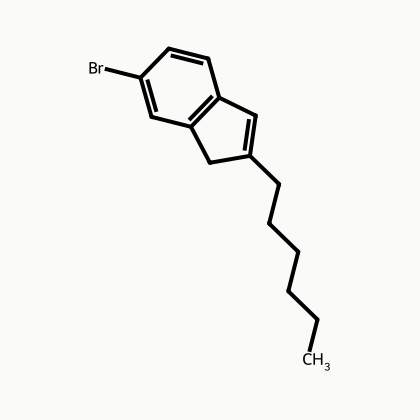 CCCCCCC1=Cc2ccc(Br)cc2C1